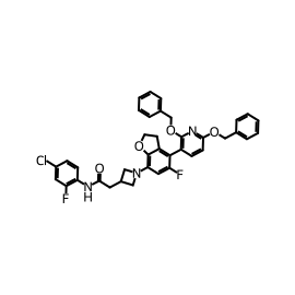 O=C(CC1CN(c2cc(F)c(-c3ccc(OCc4ccccc4)nc3OCc3ccccc3)c3c2OCC3)C1)Nc1ccc(Cl)cc1F